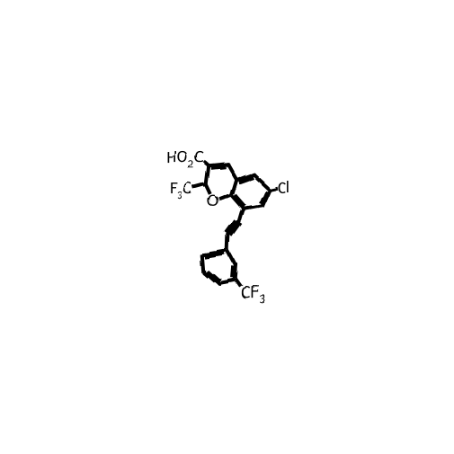 O=C(O)C1=Cc2cc(Cl)cc(C#Cc3cccc(C(F)(F)F)c3)c2OC1C(F)(F)F